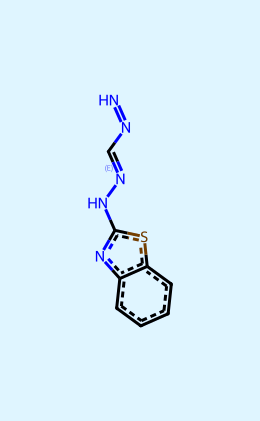 N=N/C=N/Nc1nc2ccccc2s1